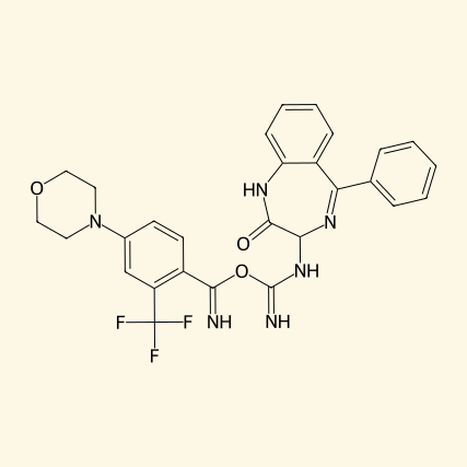 N=C(NC1N=C(c2ccccc2)c2ccccc2NC1=O)OC(=N)c1ccc(N2CCOCC2)cc1C(F)(F)F